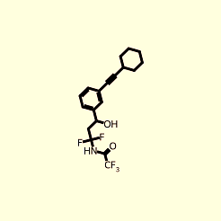 O=C(NC(F)(F)CC(O)c1cccc(C#CC2CCCCC2)c1)C(F)(F)F